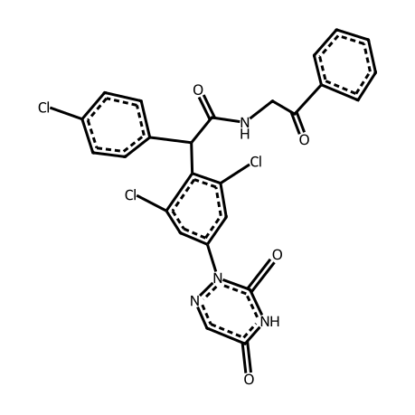 O=C(CNC(=O)C(c1ccc(Cl)cc1)c1c(Cl)cc(-n2ncc(=O)[nH]c2=O)cc1Cl)c1ccccc1